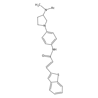 CC(=O)N(C)C1CCN(c2ccc(NC(=O)/C=C/c3cc4ccccc4s3)cc2)C1